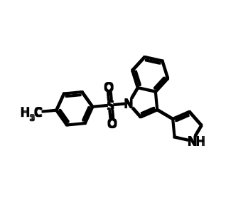 Cc1ccc(S(=O)(=O)n2cc(C3=CCNC3)c3ccccc32)cc1